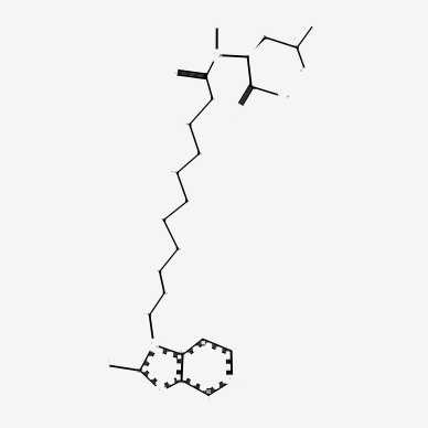 Cc1nc2cnccc2n1CCCCCCCCCCC(=O)N(C)[C@@H](CC(C)C)C(=O)O